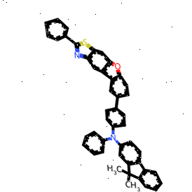 CC1(C)c2ccccc2-c2ccc(N(c3ccccc3)c3ccc(-c4ccc5oc6cc7sc(-c8ccccc8)nc7cc6c5c4)cc3)cc21